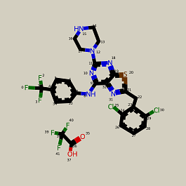 FC(F)(F)c1ccc(Nc2nc(N3CCNCC3)nc3sc(Cc4c(Cl)cccc4Cl)nc23)cc1.O=C(O)C(F)(F)F